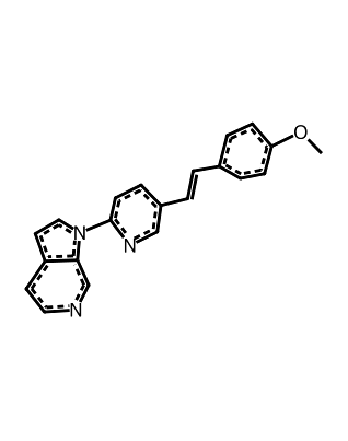 COc1ccc(/C=C/c2ccc(-n3ccc4ccncc43)nc2)cc1